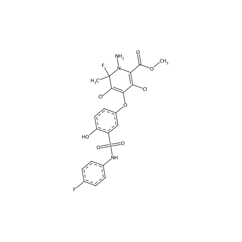 COC(=O)C1=C(Cl)C(Oc2ccc(O)c(S(=O)(=O)Nc3ccc(F)cc3)c2)=C(Cl)C(C)(F)N1N